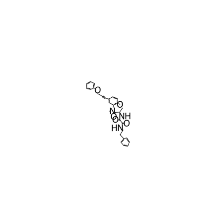 CN1C(=O)[C@@H](NC(=O)C(=O)NCCc2ccccc2)COc2ccc(C#CCOc3ccccc3)cc21